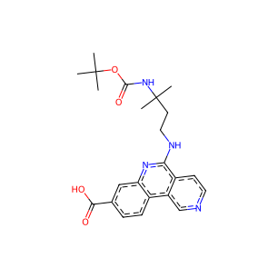 CC(C)(CCNc1nc2cc(C(=O)O)ccc2c2cnccc12)NC(=O)OC(C)(C)C